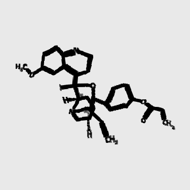 C=CC(=O)Oc1ccc(C(=O)OC(I)(c2ccnc3ccc(OC)cc23)[C@@H]2CC3CCN2C[C@@H]3C=C)cc1